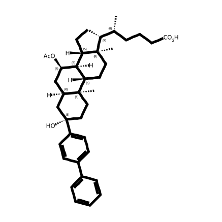 CC(=O)O[C@@H]1C[C@@H]2C[C@](O)(c3ccc(-c4ccccc4)cc3)CC[C@]2(C)[C@H]2CC[C@]3(C)[C@@H]([C@H](C)CCCC(=O)O)CC[C@H]3[C@H]12